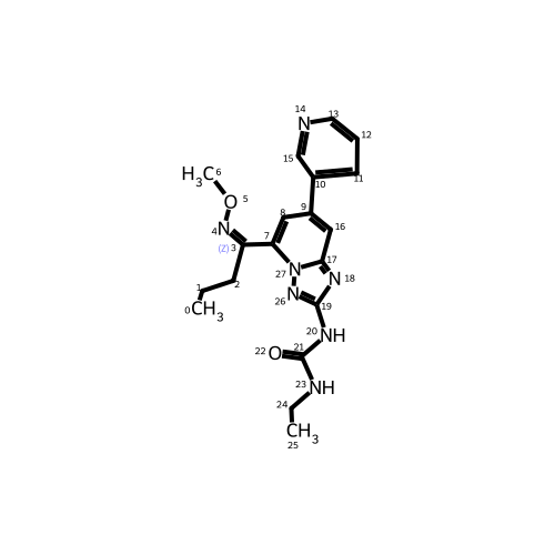 CCC/C(=N/OC)c1cc(-c2cccnc2)cc2nc(NC(=O)NCC)nn12